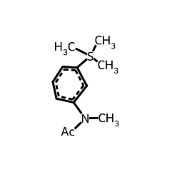 CC(=O)N(C)c1cccc(S(C)(C)C)c1